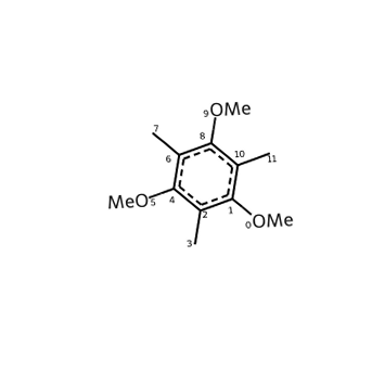 COc1c(C)c(OC)c(C)c(OC)c1C